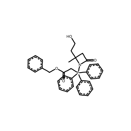 CC1(CCO)CC(=O)N1P(CC(=O)OCc1ccccc1)(c1ccccc1)(c1ccccc1)c1ccccc1